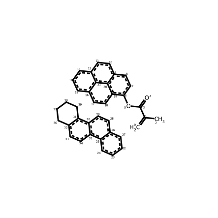 C=C(C)C(=O)Oc1ccc2ccc3cccc4ccc1c2c34.c1ccc2c(c1)ccc1c3c(ccc12)CCCC3